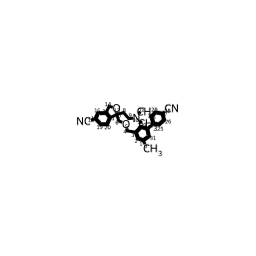 Cc1cc(COCC2(CCN(C)C)OCc3cc(C#N)ccc32)cc(-c2ccc(C#N)cc2)c1